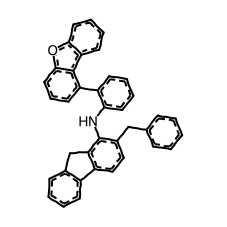 c1ccc(Cc2ccc3c(c2Nc2ccccc2-c2cccc4oc5ccccc5c24)Cc2ccccc2-3)cc1